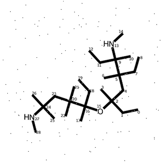 CCC(C)(CC(C)(CC)C(C)(CC)NC)OC(C)(CC)C(C)(C)CC(C)(C)NC